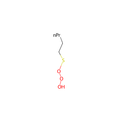 CCCCCSOOO